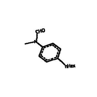 CCCCCCc1ccc(N(C)C=O)cc1